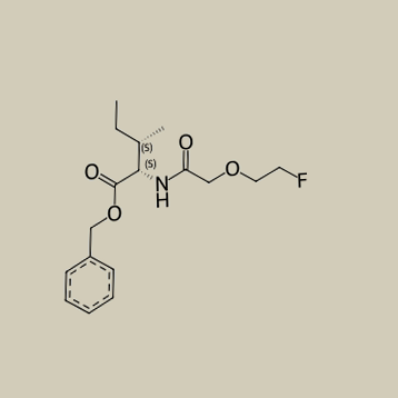 CC[C@H](C)[C@H](NC(=O)COCCF)C(=O)OCc1ccccc1